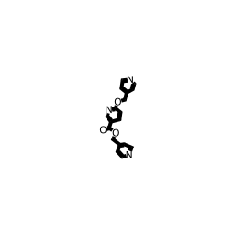 O=C(OCc1ccncc1)c1ccc(OCc2ccncc2)nc1